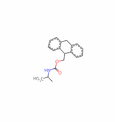 CC(NC(=O)OCC1c2ccccc2Cc2ccccc21)C(=O)O